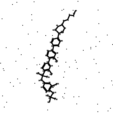 CCCCCC1COC(c2ccc(-c3ccc(-c4ccc(C(F)(F)Oc5ccc(OC(F)(F)F)c(F)c5)c(F)c4)c(F)c3)cc2)OC1